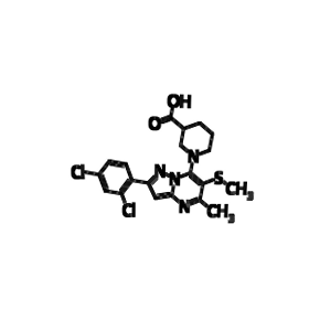 CSc1c(C)nc2cc(-c3ccc(Cl)cc3Cl)nn2c1N1CCCC(C(=O)O)C1